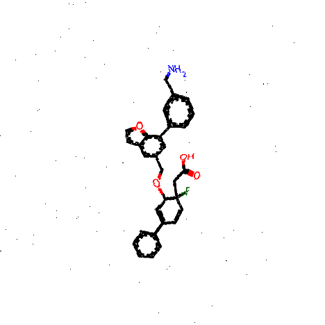 NCc1cccc(-c2cc(COC3C=C(c4ccccc4)C=CC3(F)CC(=O)O)cc3ccoc23)c1